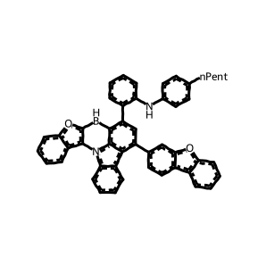 CCCCCc1ccc(Nc2ccccc2-c2cc(-c3ccc4c(c3)oc3ccccc34)c3c4ccccc4n4c3c2Bc2oc3ccccc3c2-4)cc1